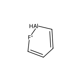 C1=C[F+][AlH][CH]=C1